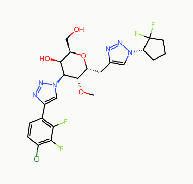 CO[C@@H]1[C@@H](n2cc(-c3ccc(Cl)c(F)c3F)nn2)[C@@H](O)[C@@H](CO)O[C@@H]1Cc1cn([C@H]2CCCC2(F)F)nn1